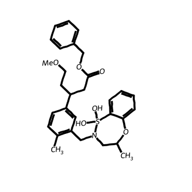 COCCC(CC(=O)OCc1ccccc1)c1ccc(C)c(CN2CC(C)Oc3ccccc3S2(O)O)c1